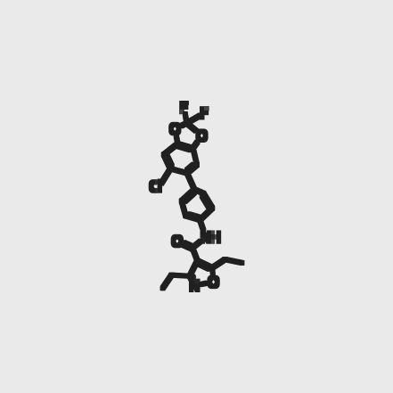 CCc1noc(CC)c1C(=O)Nc1ccc(-c2cc3c(cc2Cl)OC(F)(F)O3)cc1